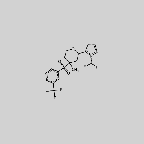 CC1(S(=O)(=O)c2cccc(C(F)(F)F)c2)CCOC(c2ccnn2C(F)F)C1